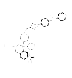 CC(=O)N[C@H]1CCC[C@@H]1C1(C2CCN(CC3CN(c4ccc(S(=O)(=O)c5ccncc5)cc4)C3)CC2)CN(C)Cc2ccccc21